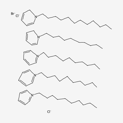 CCCCCCCCCCCCN1C=CC=CC1.CCCCCCCCCCN1C=CC=CC1.CCCCCCCCCC[n+]1ccccc1.CCCCCCCCCC[n+]1ccccc1.CCCCCCCCCC[n+]1ccccc1.[Br-].[Cl-].[Cl-]